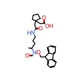 CC(CCCNC(=O)CC1(CC(=O)O)CCCC1)N(C=O)OCC1c2ccccc2-c2ccccc21